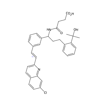 CC(C)(O)c1ccccc1CCC(NC(=O)CCC(=O)O)c1cccc(/C=C/c2ccc3ccc(Cl)cc3n2)c1